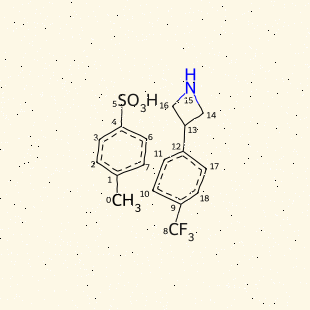 Cc1ccc(S(=O)(=O)O)cc1.FC(F)(F)c1ccc(C2CNC2)cc1